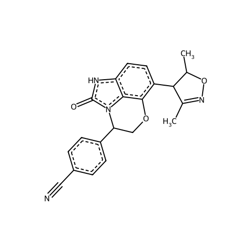 CC1=NOC(C)C1c1ccc2[nH]c(=O)n3c2c1OCC3c1ccc(C#N)cc1